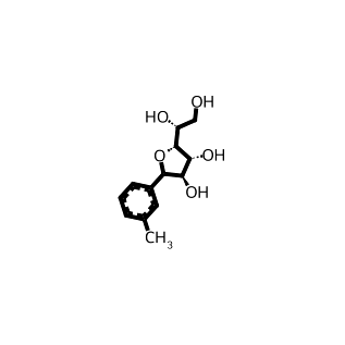 Cc1cccc(C2O[C@H]([C@H](O)CO)[C@H](O)[C@H]2O)c1